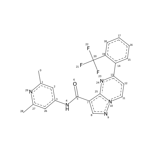 Cc1cc(NC(=O)c2cnn3ccc(-c4ccccc4C(F)(F)F)nc23)cc(C)n1